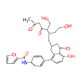 CC(=O)CC(=O)C(CO)C(CCO)CC1CC(=O)c2c(O)ccc(-c3ccc(NC(=O)c4ccco4)cc3)c2C1